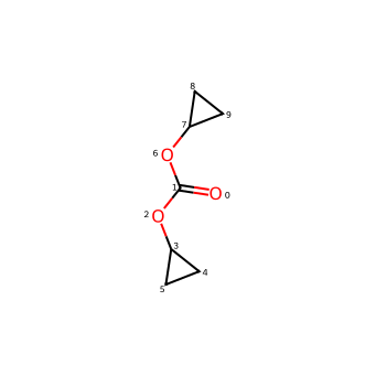 O=C(OC1CC1)OC1CC1